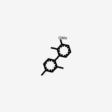 COc1cccc(-c2[c]cc(C)cc2C)c1C